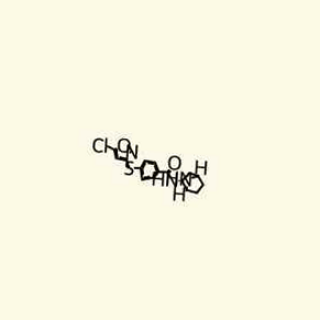 O=C(N[C@@H]1C[C@H]2CC[C@@H]1N2)c1ccc(Sc2cc(Cl)on2)cc1